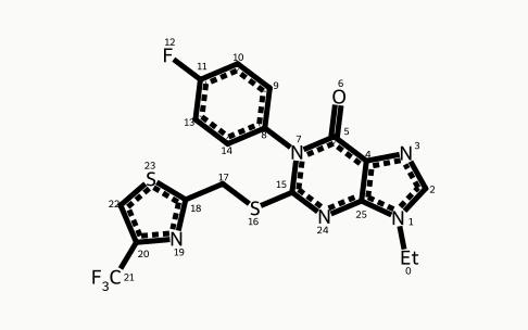 CCn1cnc2c(=O)n(-c3ccc(F)cc3)c(SCc3nc(C(F)(F)F)cs3)nc21